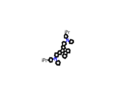 CC(C)c1ccc(N(c2ccccc2)c2ccc3cc4c(cc3c2)C2(c3ccccc3-c3ccccc32)c2cc3cc(N(c5ccccc5)c5ccc(C(C)C)cc5)ccc3cc2-4)cc1